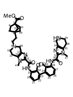 COC(=O)C12CCC(CCN3CCc4c(nc(C(=O)Nc5cccc(-c6cccc(NC(=O)c7nc8c(n7C)CCNC8)c6Cl)c5Cl)n4C)C3)(CC1)C2